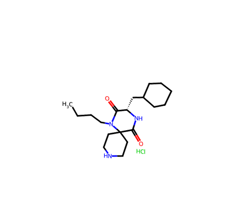 CCCCN1C(=O)[C@H](CC2CCCCC2)NC(=O)C12CCNCC2.Cl